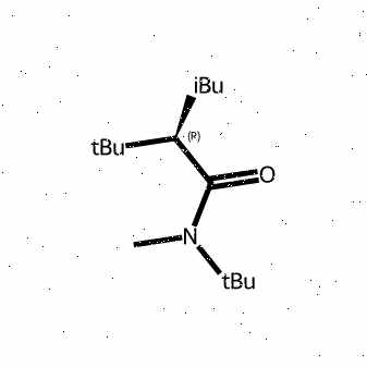 CCC(C)[C@@H](C(=O)N(C)C(C)(C)C)C(C)(C)C